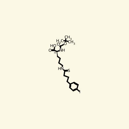 CC(C)(C)OC(=O)N[C@@H](CCCCNC(=S)CCCc1ccc(I)cc1)C(=O)O